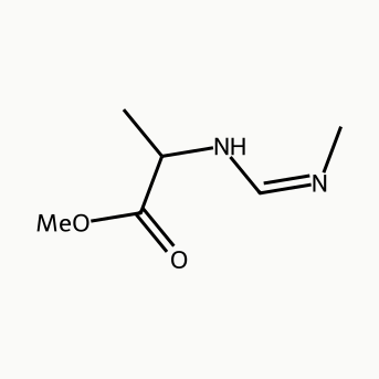 C/N=C\NC(C)C(=O)OC